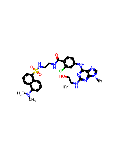 CC(C)[C@H](CO)Nc1nc(Nc2ccc(C(=O)NCCNS(=O)(=O)c3cccc4c(N(C)C)cccc34)c(Cl)c2)c2ncn(C(C)C)c2n1